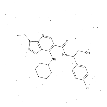 CCn1ncc2c(NC3CCCCC3)c(C(=O)NC(CO)c3ccc(Cl)cc3)cnc21